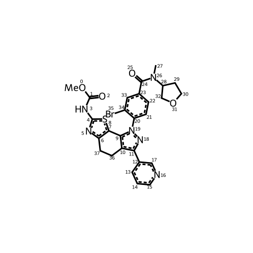 COC(=O)Nc1nc2c(s1)-c1c(c(-c3cccnc3)nn1-c1ccc(C(=O)N(C)C3CCOC3)cc1Br)CC2